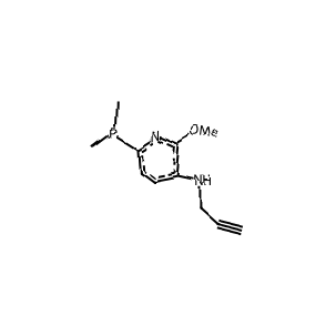 C#CCNc1ccc(P(C)C)nc1OC